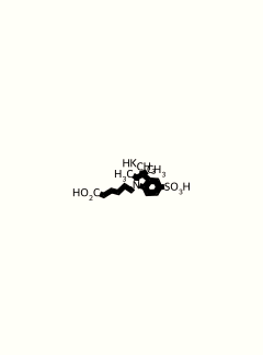 CC1N(CCCCCC(=O)O)c2ccc(S(=O)(=O)O)cc2C1(C)C.[KH]